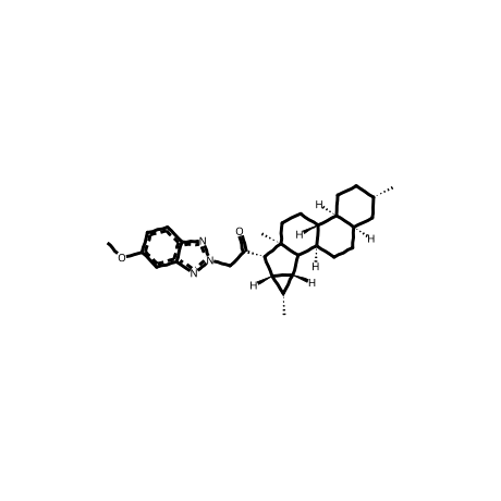 COc1ccc2nn(CC(=O)[C@H]3[C@H]4[C@@H](C)[C@H]4C4[C@@H]5CC[C@@H]6C[C@@H](C)CC[C@@H]6[C@H]5CC[C@@]43C)nc2c1